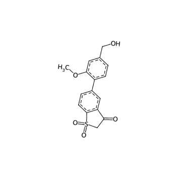 COc1cc(CO)ccc1-c1ccc2c(c1)C(=O)CS2(=O)=O